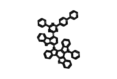 c1ccc(-c2ccc(-c3nc(-c4ccccc4)nc(-c4ccc(-n5c6ccccc6c6c7sc8ccccc8c7c7c(c8ccccc8n7-c7ccccc7)c65)c5oc6ccccc6c45)n3)cc2)cc1